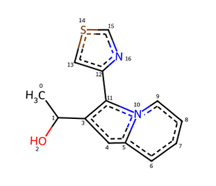 CC(O)c1cc2ccccn2c1-c1cscn1